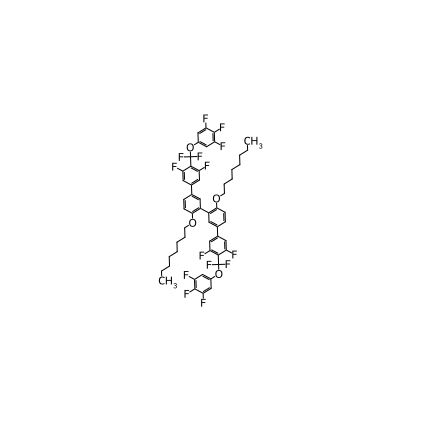 CCCCCCCCOc1ccc(-c2cc(F)c(C(F)(F)Oc3cc(F)c(F)c(F)c3)c(F)c2)cc1-c1cc(-c2cc(F)c(C(F)(F)Oc3cc(F)c(F)c(F)c3)c(F)c2)ccc1OCCCCCCCC